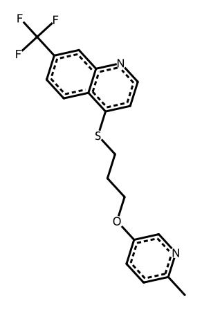 Cc1ccc(OCCCSc2ccnc3cc(C(F)(F)F)ccc23)cn1